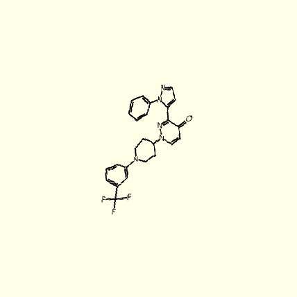 O=c1ccn(C2CCN(c3cccc(C(F)(F)F)c3)CC2)nc1-c1ccnn1-c1ccccc1